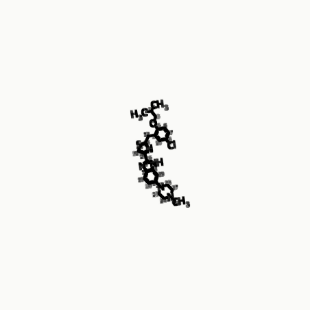 CC(C)COc1ccc(Cl)cc1Cc1nc(-c2nc3ccc(N4CCN(C)CC4)cc3[nH]2)cs1